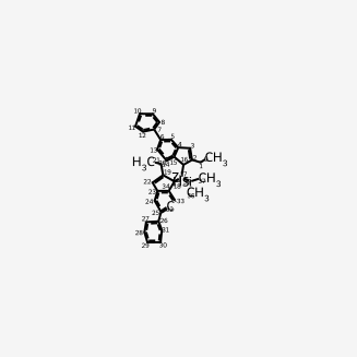 CCC1=Cc2cc(-c3ccccc3)ccc2[CH]1[Zr]([CH]1C(CC)=Cc2cc(-c3ccccc3)ccc21)[SiH](C)C